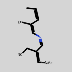 C\C=C/C(=C\N=C/C(=C\NC)CC#N)CC